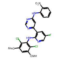 COc1cc(OC)c(Cl)c(Nc2ncc(F)cc2-c2cc(Nc3ccccc3[N+](=O)[O-])ncn2)c1Cl